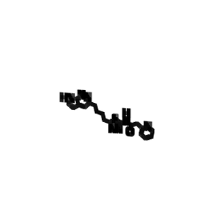 O=C(Cc1ccccn1)Nc1nnc(CCCCc2cc3cc[nH]c3nn2)s1